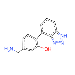 NCc1ccc(-c2cccc3[nH]nnc23)c(O)c1